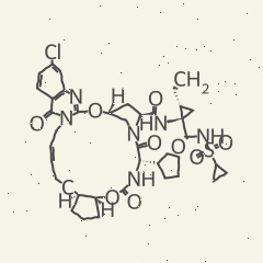 C=C[C@@H]1C[C@]1(NC(=O)[C@@H]1C[C@@H]2CN1C(=O)[C@H](C1CCCC1)NC(=O)O[C@@H]1CCC[C@H]1CCC=CCn1c(nc3cc(Cl)ccc3c1=O)O2)C(=O)NS(=O)(=O)C1CC1